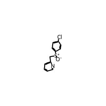 [O-][S+](Cc1ccccn1)c1ccc(Cl)cc1